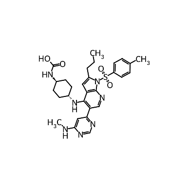 CCCc1cc2c(N[C@H]3CC[C@H](NC(=O)O)CC3)c(-c3cc(NC)ncn3)cnc2n1S(=O)(=O)c1ccc(C)cc1